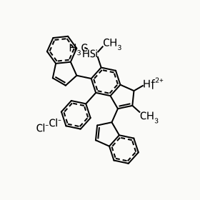 CC1=C(C2C=Cc3ccccc32)c2c(cc([SiH](C)C)c(C3C=Cc4ccccc43)c2-c2ccccc2)[CH]1[Hf+2].[Cl-].[Cl-]